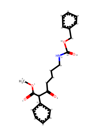 COC(=O)C(C(=O)CCCCNC(=O)OCc1ccccc1)c1ccccc1